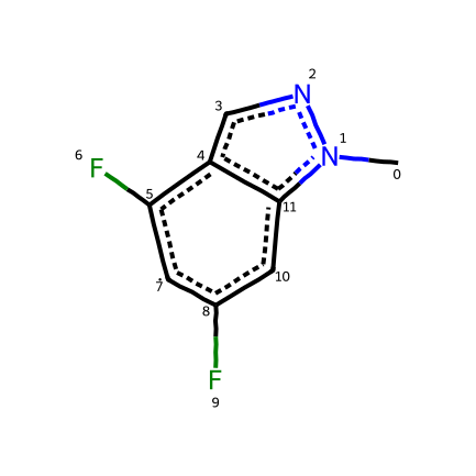 Cn1ncc2c(F)[c]c(F)cc21